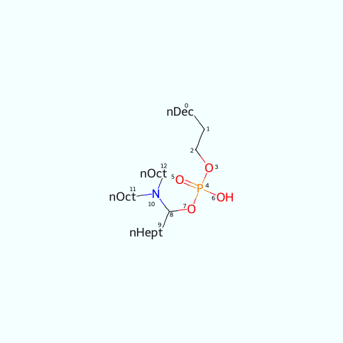 CCCCCCCCCCCCOP(=O)(O)OC(CCCCCCC)N(CCCCCCCC)CCCCCCCC